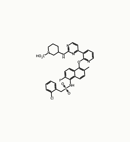 Cc1ccc2c(NS(=O)(=O)Cc3ccccc3Cl)c(F)ccc2c1Oc1ncccc1-c1ccnc(NC2CCCN(C(=O)O)C2)n1